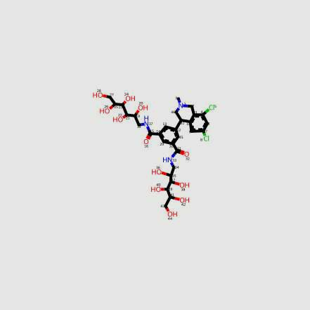 CN1Cc2c(Cl)cc(Cl)cc2C(c2cc(C(=O)NCC(O)C(O)C(O)C(O)CO)cc(C(=O)NCC(O)C(O)C(O)C(O)CO)c2)C1